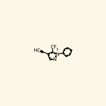 C#Cc1cnn(-c2ccccc2)c1C(F)(F)F